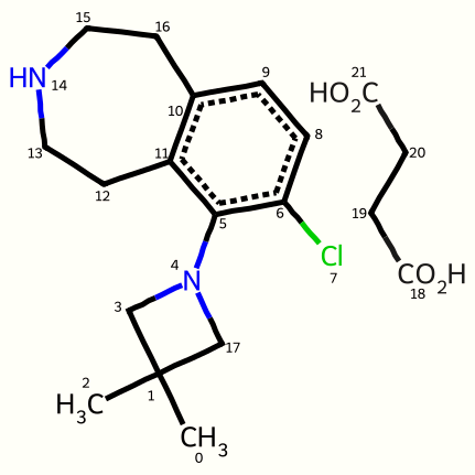 CC1(C)CN(c2c(Cl)ccc3c2CCNCC3)C1.O=C(O)CCC(=O)O